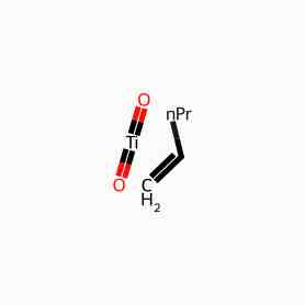 C=CCCC.[O]=[Ti]=[O]